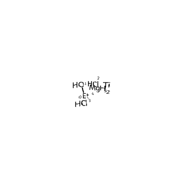 CCO.Cl.Cl.[MgH2].[Ti]